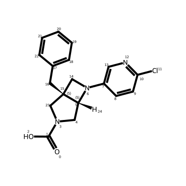 O=C(O)N1C[C@H]2N(c3ccc(Cl)nc3)C[C@@]2(Cc2ccccc2)C1